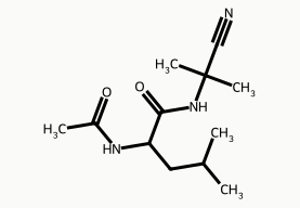 CC(=O)NC(CC(C)C)C(=O)NC(C)(C)C#N